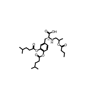 CCCC(=O)OC(C)CN[C@@H](Cc1ccc(OC(=O)CCC(C)C)c(OC(=O)CCC(C)C)c1)C(=O)O